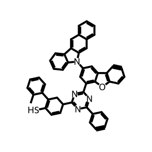 Cc1ccccc1C1=C(S)C=CC(c2nc(-c3cc#ccc3)nc(-c3cc(-n4c5ccccc5c5cc6ccccc6cc54)cc4c3oc3ccc#cc34)n2)C1